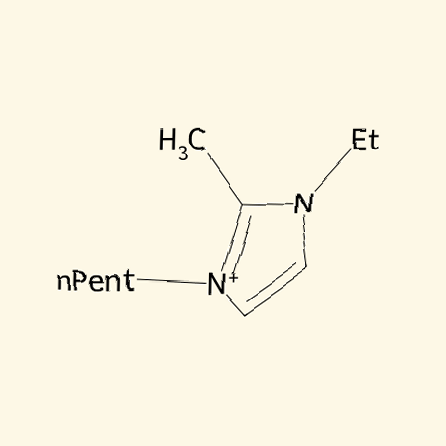 CCCCC[n+]1ccn(CC)c1C